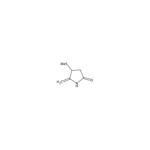 C=C1NC(=O)CC1SC